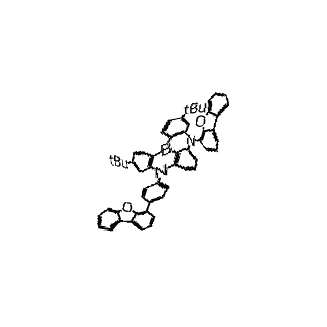 CC(C)(C)c1ccc2c(c1)N(c1ccc(-c3cccc4c3oc3ccccc34)cc1)c1cccc3c1B2c1ccc(C(C)(C)C)cc1N3c1cccc2c1oc1ccccc12